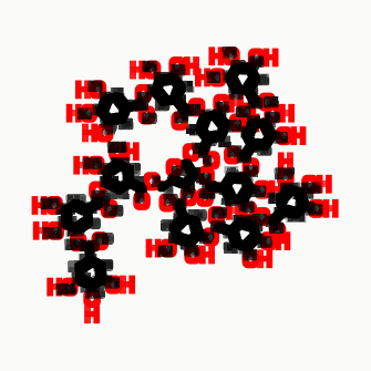 O=C(OC[C@H]1O[C@H](OC(=O)c2cc(O)c(O)c(OC(=O)c3cc(O)c(O)c(OC(=O)c4cc(O)c(O)c(O)c4)c3)c2)[C@H](OC(=O)c2cc(O)c(O)c(OC(=O)c3cc(O)c(O)c(OC(=O)c4cc(O)c(O)c(O)c4)c3)c2)[C@@H]1OC(=O)c1cc(O)c(O)c(OC(=O)c2cc(O)c(O)c(OC(=O)c3cc(O)c(O)c(O)c3)c2)c1)c1cc(O)c(O)c(OC(=O)c2cc(O)c(O)c(OC(=O)c3cc(O)c(O)c(O)c3)c2)c1